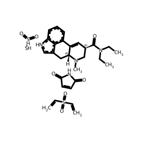 C=CS(=O)(=O)C=C.CCN(CC)C(=O)[C@@H]1C=C2c3cccc4[nH]cc(c34)C[C@H]2N(C)C1.O=C1C=CC(=O)N1.O=[SH](=O)S